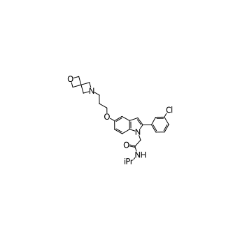 CC(C)NC(=O)Cn1c(-c2cccc(Cl)c2)cc2cc(OCCCN3CC4(COC4)C3)ccc21